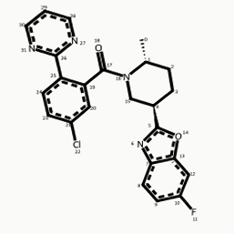 C[C@@H]1CC[C@@H](c2nc3ccc(F)cc3o2)CN1C(=O)c1cc(Cl)ccc1-c1ncccn1